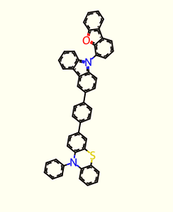 c1ccc(N2c3ccccc3Sc3cc(-c4ccc(-c5ccc6c(c5)c5ccccc5n6-c5cccc6c5oc5ccccc56)cc4)ccc32)cc1